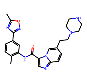 Cc1nc(-c2ccc(C)c(NC(=O)c3cnc4ccc(CCN5CCNCC5)cn34)c2)no1